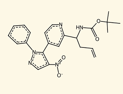 C=CCC(NC(=O)OC(C)(C)C)c1cc(-c2c([N+](=O)[O-])cnn2-c2ccccc2)ccn1